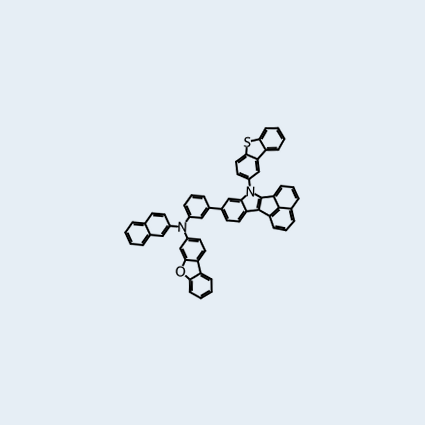 c1cc(-c2ccc3c4c(n(-c5ccc6sc7ccccc7c6c5)c3c2)-c2cccc3cccc-4c23)cc(N(c2ccc3ccccc3c2)c2ccc3c(c2)oc2ccccc23)c1